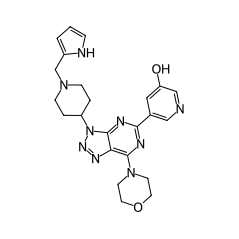 Oc1cncc(-c2nc(N3CCOCC3)c3nnn(C4CCN(Cc5ccc[nH]5)CC4)c3n2)c1